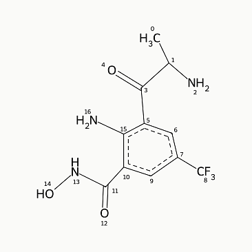 CC(N)C(=O)c1cc(C(F)(F)F)cc(C(=O)NO)c1N